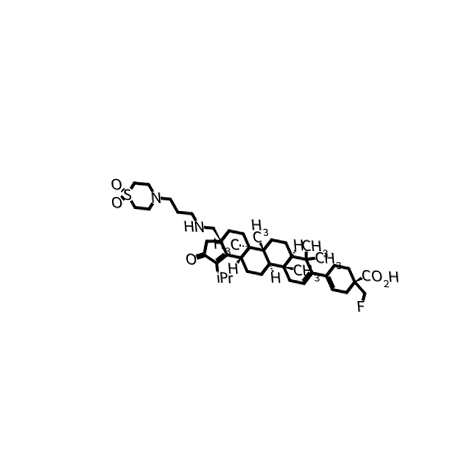 CC(C)C1=C2[C@H]3CC[C@@H]4[C@@]5(C)CC=C(C6=CC[C@](CF)(C(=O)O)CC6)C(C)(C)[C@@H]5CC[C@@]4(C)[C@]3(C)CC[C@@]2(CNCCCN2CCS(=O)(=O)CC2)CC1=O